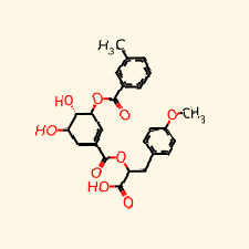 COc1ccc(CC(OC(=O)C2=CC(OC(=O)c3cccc(C)c3)[C@@H](O)C(O)C2)C(=O)O)cc1